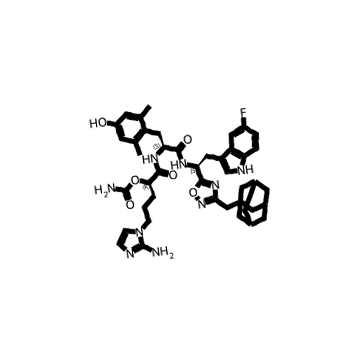 Cc1cc(O)cc(C)c1C[C@H](NC(=O)[C@@H](CCCn1ccnc1N)OC(N)=O)C(=O)N[C@@H](Cc1c[nH]c2ccc(F)cc12)c1nc(CC23CC4CC(CC(C4)C2)C3)no1